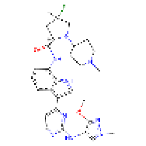 COc1nn(C)cc1Nc1nccc(-c2c[nH]c3c(NC(=O)[C@H]4CC(C)(F)CN4C4CCN(C)CC4)cccc23)n1